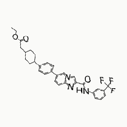 CCOC(=O)CC1CCC(c2ccc(-c3ccc4nc(C(=O)Nc5cccc(C(F)(F)F)c5)cn4c3)cc2)CC1